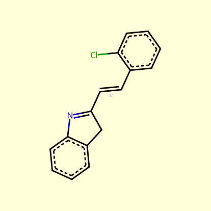 Clc1ccccc1/C=C/C1=Nc2ccccc2C1